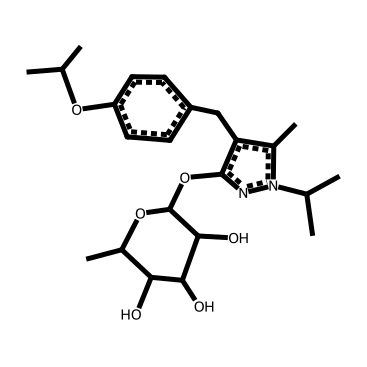 Cc1c(Cc2ccc(OC(C)C)cc2)c(OC2OC(C)C(O)C(O)C2O)nn1C(C)C